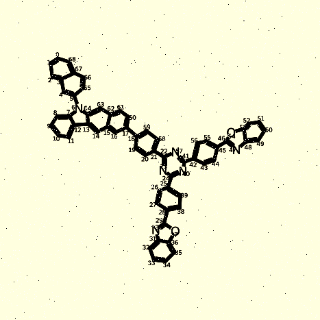 c1ccc2cc(-n3c4ccccc4c4cc5cc(-c6ccc(-c7nc(-c8ccc(-c9nc%10ccccc%10o9)cc8)nc(-c8ccc(-c9nc%10ccccc%10o9)cc8)n7)cc6)ccc5cc43)ccc2c1